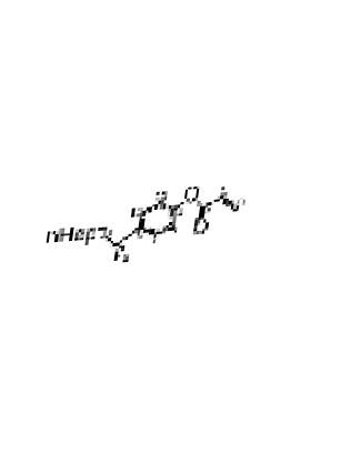 C=CC(=O)Oc1ccc(C(C)CCCCCCC)cc1